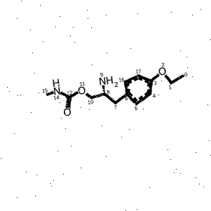 CCOc1ccc(C[C@H](N)COC(=O)NC)cc1